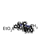 CCOC(=O)c1ccc2c(c1)C(C)(C)C(/C=C/C1=C(Sc3nnc(SC)s3)C(=C/C=C3/N(C)c4ccccc4C3(C)C)/CCC1)=[N+]2C